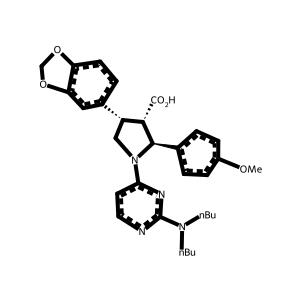 CCCCN(CCCC)c1nccc(N2C[C@H](c3ccc4c(c3)OCO4)[C@H](C(=O)O)[C@H]2c2ccc(OC)cc2)n1